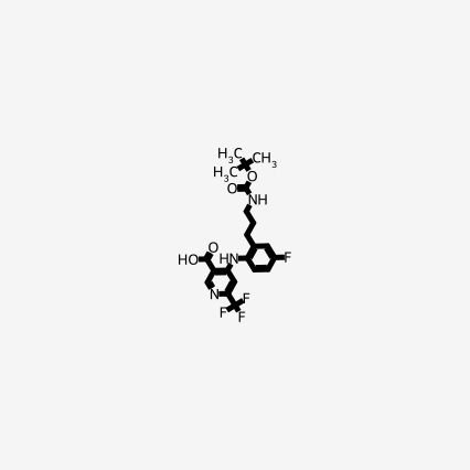 CC(C)(C)OC(=O)NCCCc1cc(F)ccc1Nc1cc(C(F)(F)F)ncc1C(=O)O